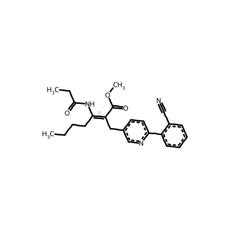 CCCC/C(NC(=O)CC)=C(\Cc1ccc(-c2ccccc2C#N)nc1)C(=O)OC